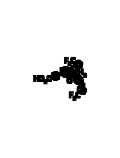 Cc1c(N2CCN(Cc3ccc(C(F)(F)F)o3)CC2)c(=O)n(C[C@H](N)c2ccc(C(=O)O)cc2)c(=O)n1Cc1c(F)cccc1C(F)(F)F